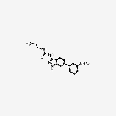 CC(=O)Nc1cccc(-c2ccc3c(NC(=O)NCCN)n[nH]c3c2)c1